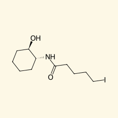 O=C(CCCCI)N[C@@H]1CCCC[C@H]1O